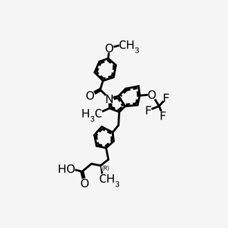 COc1ccc(C(=O)n2c(C)c(Cc3cccc(C[C@@H](C)CC(=O)O)c3)c3cc(OC(F)(F)F)ccc32)cc1